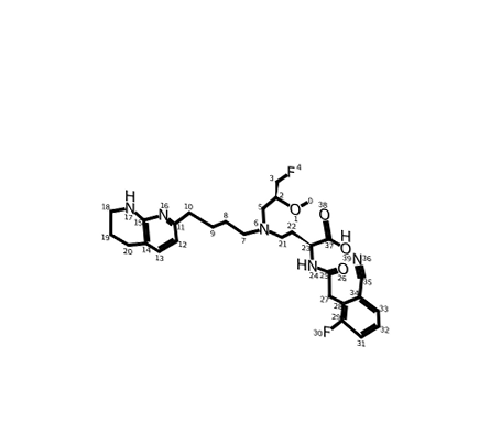 CO[C@H](CF)CN(CCCCc1ccc2c(n1)NCCC2)CC[C@H](NC(=O)Cc1c(F)cccc1C#N)C(=O)O